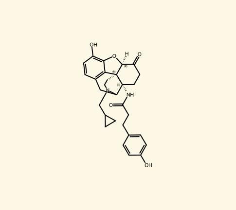 O=C(CCc1ccc(O)cc1)N[C@@]12CCC(=O)[C@@H]3Oc4c(O)ccc5c4[C@@]31CCN(CC1CC1)C2C5